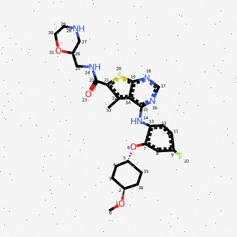 CO[C@H]1CC[C@H](Oc2cc(F)ccc2Nc2ncnc3sc(C(=O)NCC4CNCCO4)c(C)c23)CC1